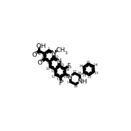 Cn1cc(C(=O)O)c(=O)c2cc3cc(F)c(N4CCN[C@@H](c5ccccc5)C4)c(F)c3nc21